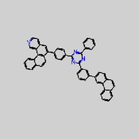 c1ccc(-c2nc(-c3ccc(-c4cc5ccncc5c5c4ccc4ccccc45)cc3)nc(-c3cccc(-c4ccc5ccc6ccccc6c5c4)c3)n2)cc1